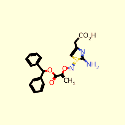 C=C(ON=S1C=C(CC(=O)O)N=C1N)C(=O)OC(c1ccccc1)c1ccccc1